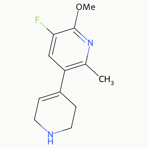 COc1nc(C)c(C2=CCNCC2)cc1F